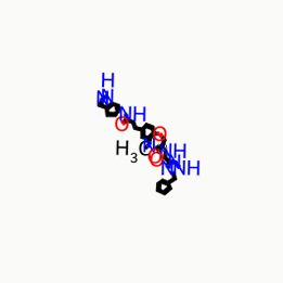 CN1C(=O)[C@H](NC(=O)c2n[nH]c(Cc3ccccc3)n2)COc2ccc(CCC(=O)Nc3ccc4cn[nH]c4c3)cc21